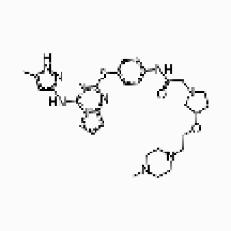 Cc1cc(Nc2nc(Sc3ccc(NC(=O)CN4CCC(OCCN5CCN(C)CC5)C4)cc3)nc3cccn23)n[nH]1